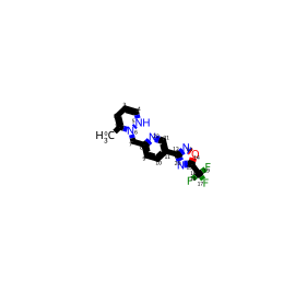 CC1=CC=CNN1Cc1ccc(-c2noc(C(F)(F)F)n2)cn1